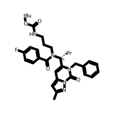 Cc1cc2cc([C@@H](C(C)C)N(CCCNC(=O)OC(C)(C)C)C(=O)c3ccc(F)cc3)n(Cc3ccccc3)c(=O)n2n1